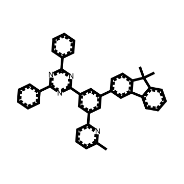 Cc1cccc(-c2cc(-c3ccc4c(c3)-c3ccccc3C4(C)C)cc(-c3nc(-c4ccccc4)nc(-c4ccccc4)n3)c2)n1